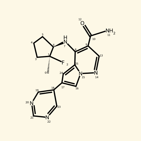 C[C@]1(F)CCC[C@H]1Nc1c(C(N)=O)cnn2cc(-c3cncnc3)cc12